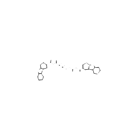 O=C(CCC(F)(F)C(F)(F)C(=O)CC(=O)c1ccc2sc3ccccc3c2c1)CC(=O)c1ccc2sc3ccccc3c2c1